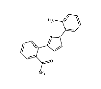 Cc1ccccc1-n1ccc(-c2ccccc2C(N)=O)n1